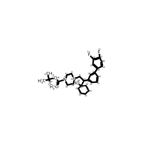 CC(C)(C)OC(=O)N1CCN(CC(c2cccc(-c3ccc(F)c(F)c3)c2)C2(O)CCCCC2)CC1